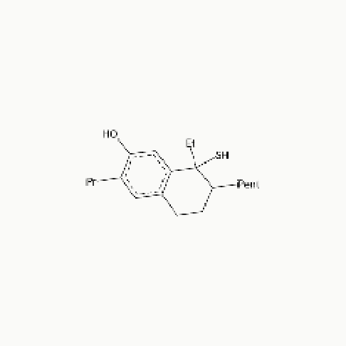 CCCC(C)C1CCc2cc(C(C)C)c(O)cc2C1(S)CC